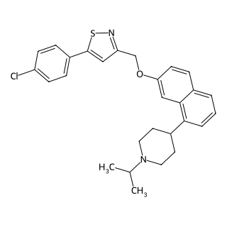 CC(C)N1CCC(c2cccc3ccc(OCc4cc(-c5ccc(Cl)cc5)sn4)cc23)CC1